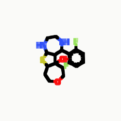 OC12CCOCCC1SC1NCCNC(c3c(F)cccc3F)C12